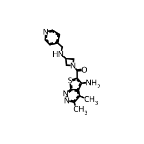 Cc1nnc2sc(C(=O)N3CC(NCc4ccncc4)C3)c(N)c2c1C